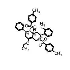 CCOC1=C2CN(S(=O)(=O)c3ccc(C)cc3)[C@H](c3ccccc3C)C[C@@H]2N(S(=O)(=O)c2ccc(C)cc2)[C@H](c2ccccc2)C1